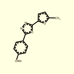 COc1ccc(-c2nnc(-c3ccc(C)o3)o2)cc1